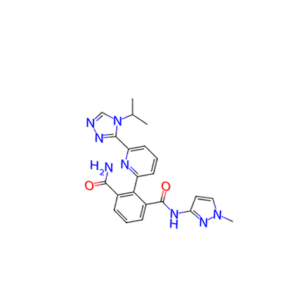 CC(C)n1cnnc1-c1cccc(-c2c(C(N)=O)cccc2C(=O)Nc2ccn(C)n2)n1